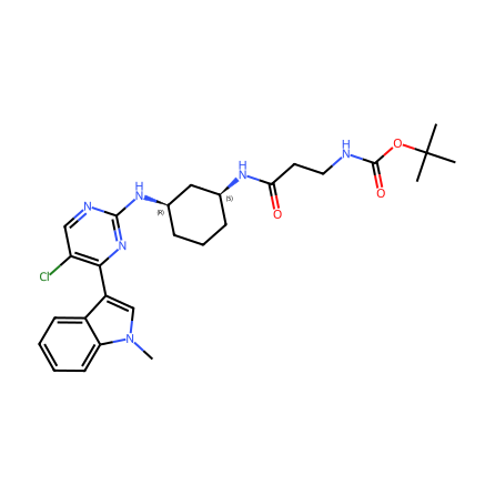 Cn1cc(-c2nc(N[C@@H]3CCC[C@H](NC(=O)CCNC(=O)OC(C)(C)C)C3)ncc2Cl)c2ccccc21